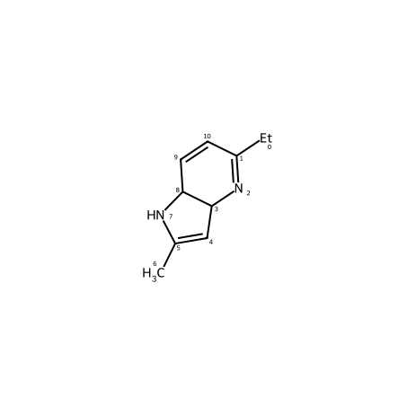 CCC1=NC2C=C(C)NC2C=C1